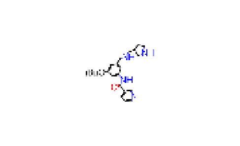 CC(C)COc1cc(CNCC2CCNC2)cc(NC(=O)c2cccnc2)c1